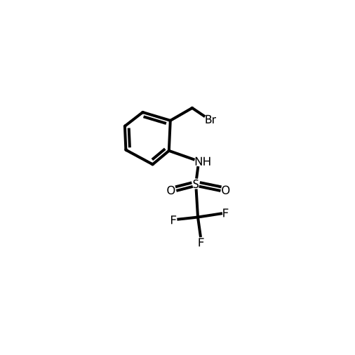 O=S(=O)(Nc1ccccc1CBr)C(F)(F)F